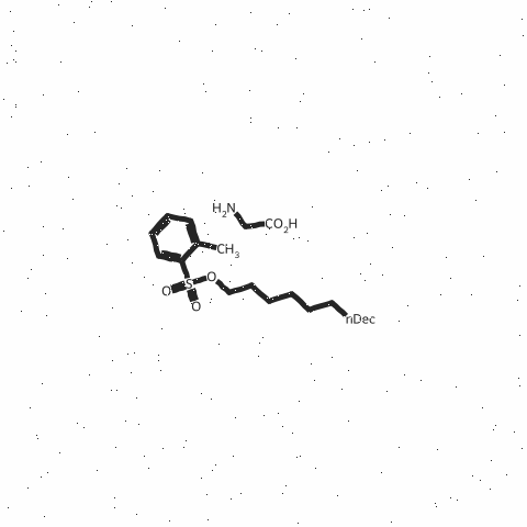 CCCCCCCCCCCCCCCCOS(=O)(=O)c1ccccc1C.NCC(=O)O